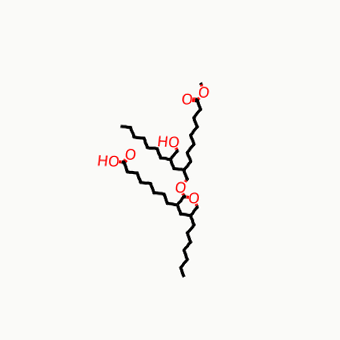 CCCCCCCC(CO)CC(CCCCCCCC(=O)OC)COC1OCC(CCCCCCC)CC1CCCCCCCC(=O)O